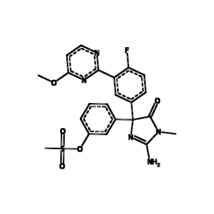 COc1ccnc(-c2cc(C3(c4cccc(OS(C)(=O)=O)c4)N=C(N)N(C)C3=O)ccc2F)n1